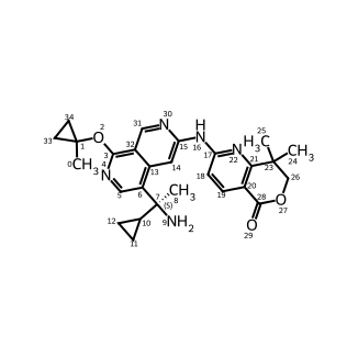 CC1(Oc2ncc([C@@](C)(N)C3CC3)c3cc(Nc4ccc5c(n4)C(C)(C)COC5=O)ncc23)CC1